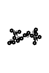 c1ccc(-c2cc(-c3ccc(-c4cccc5c4oc4ccccc45)c(-c4cccc5c4oc4cc(-c6ccc7c(c6)oc6c(-c8ccc(-c9cc(-c%10ccccc%10)nc(-c%10ccccc%10)n9)c(-c9cccc%10c9oc9ccccc9%10)c8)cccc67)ccc45)c3)nc(-c3ccccc3)n2)cc1